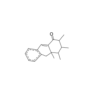 CC1C(=O)C2=Cc3ccccc3CC2(C)C(C)C1C